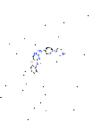 Cc1ccccc1Nc1nc(Nc2ccc(N3CCN(C)CC3)cc2)ncc1Cl